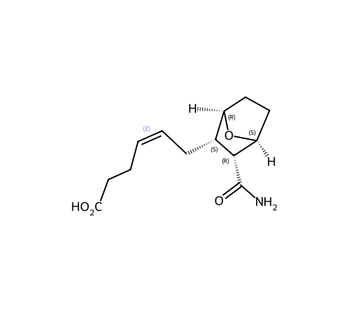 NC(=O)[C@@H]1[C@H](C/C=C\CCC(=O)O)[C@H]2CC[C@@H]1O2